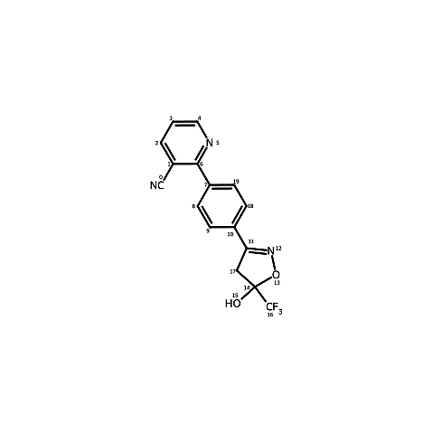 N#Cc1cccnc1-c1ccc(C2=NOC(O)(C(F)(F)F)C2)cc1